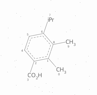 Cc1c(C(=O)O)ccc(C(C)C)c1C